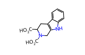 O=C(O)C1Cc2c([nH]c3ccccc23)CN1C(=O)O